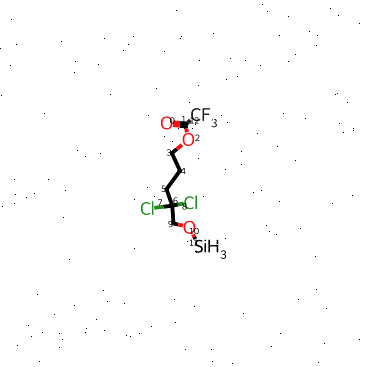 O=C(OCCCC(Cl)(Cl)CO[SiH3])C(F)(F)F